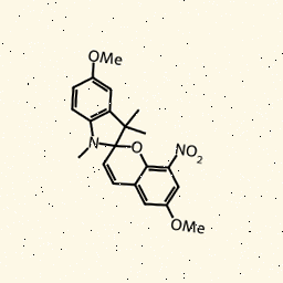 COc1cc2c(c([N+](=O)[O-])c1)OC1(C=C2)N(C)c2ccc(OC)cc2C1(C)C